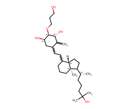 C=C1/C(=C\C=C2/CCC[C@]3(C)C([C@H](C)CCCC(C)(C)O)CC[C@@H]23)C[C@@H](O)[C@@H](OCCCO)[C@@H]1O